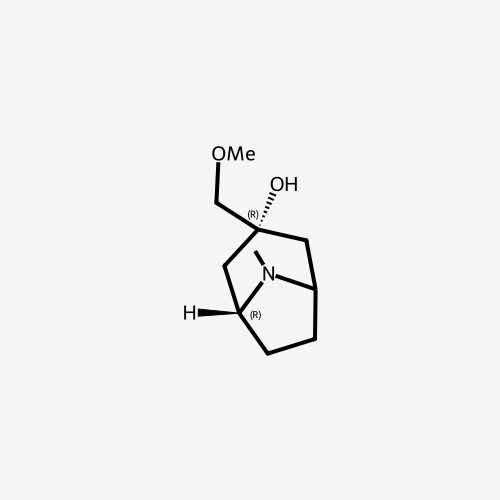 COC[C@@]1(O)CC2CC[C@H](C1)N2C